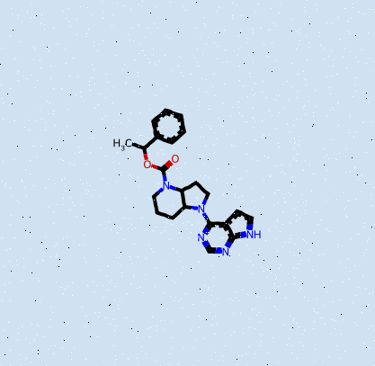 CC(OC(=O)N1CCCC2C1CCN2c1ncnc2[nH]ccc12)c1ccccc1